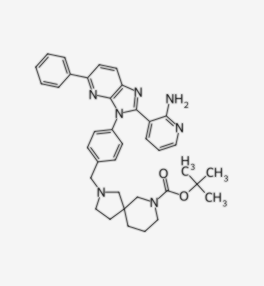 CC(C)(C)OC(=O)N1CCCC2(CCN(Cc3ccc(-n4c(-c5cccnc5N)nc5ccc(-c6ccccc6)nc54)cc3)C2)C1